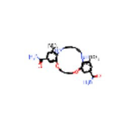 NC(=O)c1cc2c(c([N+](=O)[O-])c1)NCCCCNc1c(cc(C(N)=O)cc1[N+](=O)[O-])OCCCO2